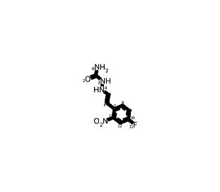 NC(=O)NNC=Cc1ccc(F)cc1[N+](=O)[O-]